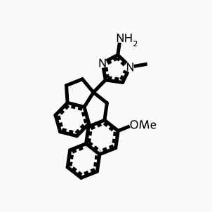 COc1cc2ccccc2cc1CC1(c2cn(C)c(N)n2)CCc2ccccc21